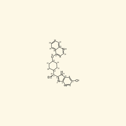 CC[C@H](c1nc2ncc(Cl)cc2[nH]1)C1CCC(Oc2ccnc3ccccc23)CC1